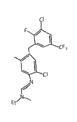 CCN(C)C=Nc1cc(C)c(Cc2cc(C(F)(F)F)cc(Cl)c2F)cc1Cl